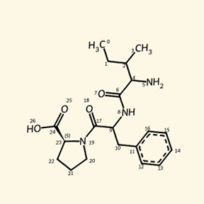 CCC(C)C(N)C(=O)NC(Cc1ccccc1)C(=O)N1CCC[C@H]1C(=O)O